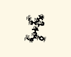 Cc1noc(C)c1-c1cnc2c(-c3cnn(CC(F)(F)F)c3)cn(C(C)c3ccccn3)c2c1.Cc1noc(C)c1-c1cnc2c(-c3cnn(CC(F)(F)F)c3)cn(CC3(F)CCC(F)(F)CC3)c2c1